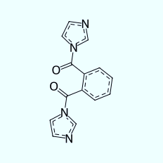 O=C(c1ccccc1C(=O)n1ccnc1)n1ccnc1